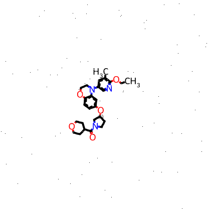 CCOc1ncc(N2CCOc3ccc(O[C@H]4CCN(C(=O)C5CCOCC5)C4)cc32)cc1C